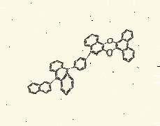 c1ccc2cc(-c3c4ccccc4c(-c4ccc(-c5cc6c(c7ccccc57)Oc5c(c7ccccc7c7ccccc57)O6)cc4)c4ccccc34)ccc2c1